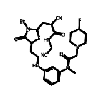 CCN1C(=O)C(CCNc2cccc(N(C)C(=O)CN3CCC(F)CC3)c2)SC1CC(C#N)C(=O)NCC#N